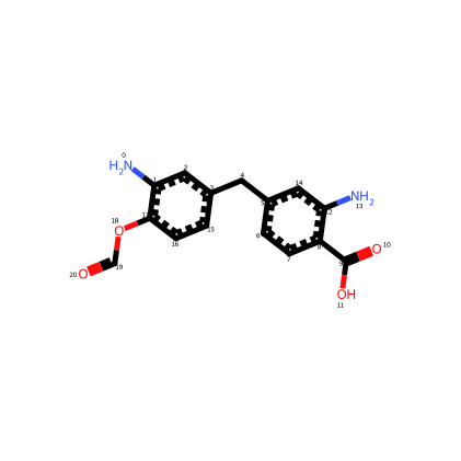 Nc1cc(Cc2ccc(C(=O)O)c(N)c2)ccc1OC=O